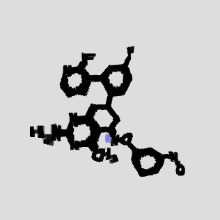 Cc1nc(N)nc2c1/C(=N/Oc1cccc(N=O)c1)CC(c1ccc(F)cc1-c1cccnc1F)C2